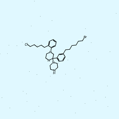 ClCCCCCc1ccccc1N1CC[N]C(c2cccc(CCCCCCBr)c2)(N2CCNCC2)C1